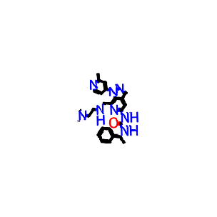 Cc1cc(-n2ncc3cc(NC(=O)NC(C)c4ccccc4)nc(CNCCN(C)C)c32)ccn1